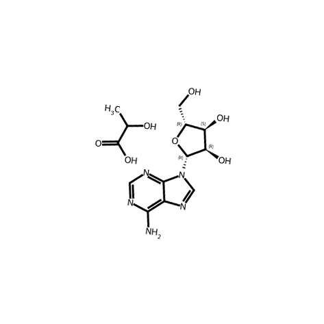 CC(O)C(=O)O.Nc1ncnc2c1ncn2[C@@H]1O[C@H](CO)[C@@H](O)[C@H]1O